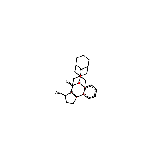 CC(=O)C1CCCN1C(=O)N(c1ccccc1)C1CC2CCCC(C1)N2C1CC2CCCC(C2)C1